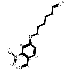 O=CCCCCCOc1ccc(C=O)c([N+](=O)[O-])c1